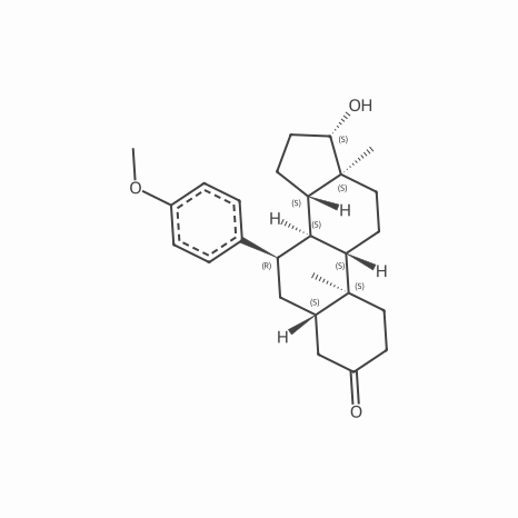 COc1ccc([C@@H]2C[C@H]3CC(=O)CC[C@]3(C)[C@H]3CC[C@]4(C)[C@@H](O)CC[C@H]4[C@H]23)cc1